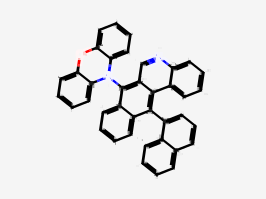 c1ccc2c(c1)Oc1ccccc1N2c1c2ccccc2c(-c2cccc3ccccc23)c2c1cnc1ccccc12